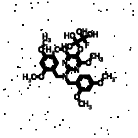 COc1ccc(CN(Cc2ccc(OC)cc2OC)c2nc(OC)c(OC(O)(O)C(O)(O)F)c(OC)n2)c(OC)c1